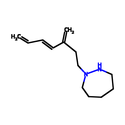 C=CC=CC(=C)CCN1CCCCCN1